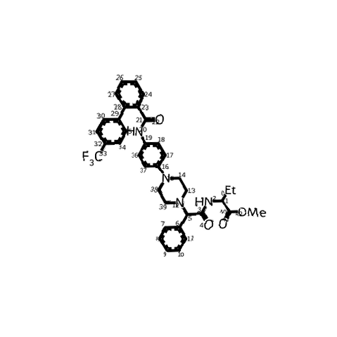 CCC(NC(=O)C(c1ccccc1)N1CCN(c2ccc(NC(=O)c3ccccc3-c3ccc(C(F)(F)F)cc3)cc2)CC1)C(=O)OC